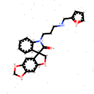 O=C1N(CCCNCc2ccco2)c2ccccc2C12COc1cc3c(cc12)OCO3